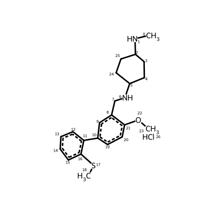 CNC1CCC(NCc2cc(-c3ccccc3SC)ccc2OC)CC1.Cl